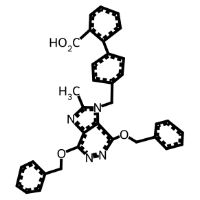 Cc1nc2c(OCc3ccccc3)nnc(OCc3ccccc3)c2n1Cc1ccc(-c2ccccc2C(=O)O)cc1